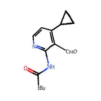 CC(C)(C)C(=O)Nc1nccc(C2CC2)c1C=O